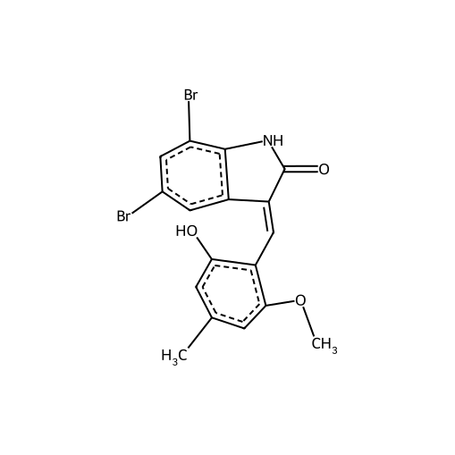 COc1cc(C)cc(O)c1C=C1C(=O)Nc2c(Br)cc(Br)cc21